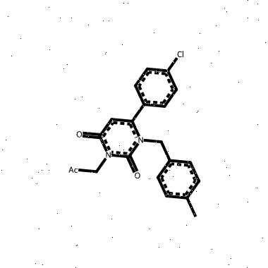 CC(=O)Cn1c(=O)cc(-c2ccc(Cl)cc2)n(Cc2ccc(C)cc2)c1=O